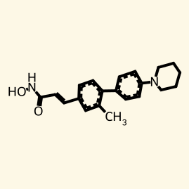 Cc1cc(/C=C/C(=O)NO)ccc1-c1ccc(N2CCCCC2)cc1